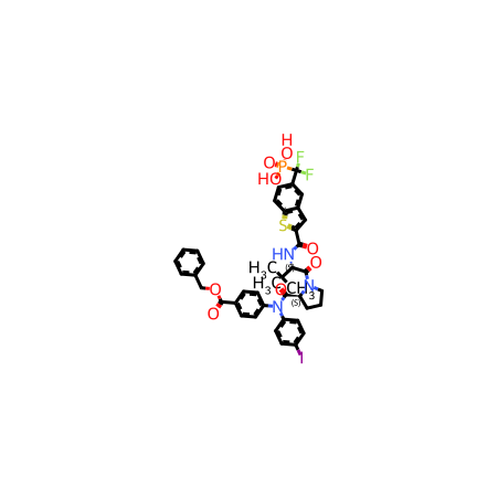 CC(C)(C)[C@H](NC(=O)c1cc2cc(C(F)(F)P(=O)(O)O)ccc2s1)C(=O)N1CCC[C@H]1C(=O)N(c1ccc(I)cc1)c1ccc(C(=O)OCc2ccccc2)cc1